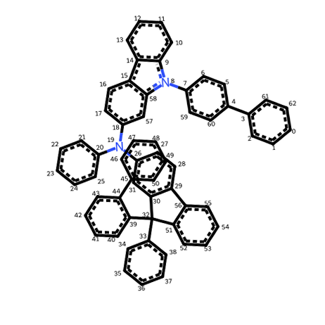 c1ccc(-c2ccc(-n3c4ccccc4c4ccc(N(c5ccccc5)c5ccc6c(c5)C(c5ccccc5)(c5ccccc5-c5ccccc5)c5ccccc5-6)cc43)cc2)cc1